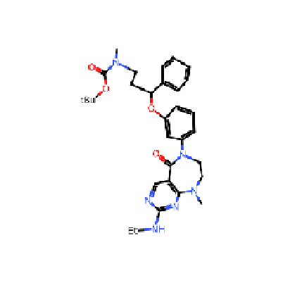 CCNc1ncc2c(n1)N(C)CCN(c1cccc(OC(CCN(C)C(=O)OC(C)(C)C)c3ccccc3)c1)C2=O